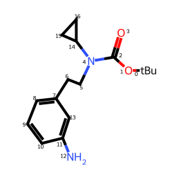 CC(C)(C)OC(=O)N(CCc1cccc(N)c1)C1CC1